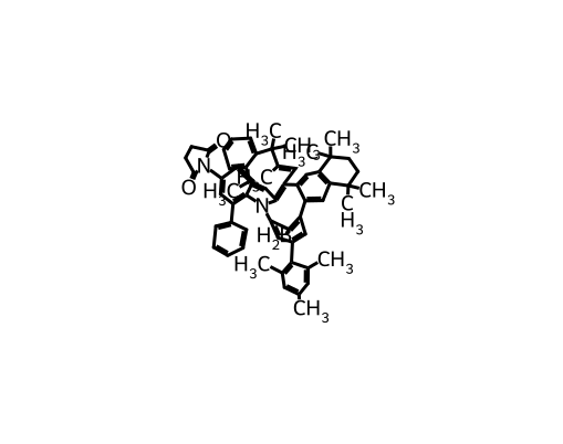 Bc1c2cc(-c3c(C)cc(C)cc3C)cc1N(c1ccc(N3C(=O)CCC3=O)cc1-c1ccccc1)C1=C(\C=C(/C)C(C)(C)c3ccccc3\C(C)=C\1)c1cc3c(cc1-2)C(C)(C)CCC3(C)C